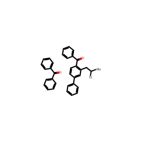 CCCCC(CC)Cc1cc(-c2ccccc2)ccc1C(=O)c1ccccc1.O=C(c1ccccc1)c1ccccc1